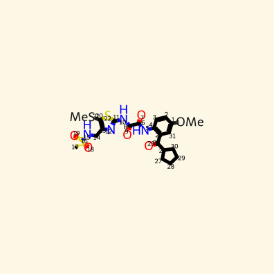 COc1ccc(NC(=O)C(=O)Nc2nc(CNS(C)(=O)=O)c(SC)s2)c(C(=O)C2CCCC2)c1